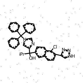 CC(C)C(O)(c1ccc2c(Cl)c(-c3c[nH]nn3)ccc2c1)c1cn(C(c2ccccc2)(c2ccccc2)c2ccccc2)cn1